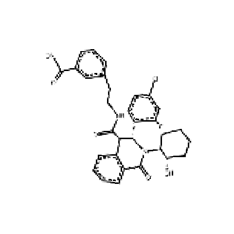 O=NC(=O)c1cccc(CCNC(=O)[C@@H]2c3ccccc3C(=O)N([C@H]3CCCC[C@@H]3O)[C@H]2c2ccc(Cl)cc2Cl)c1